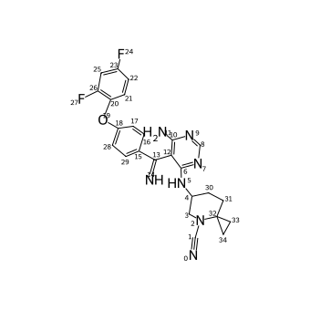 N#CN1CC(Nc2ncnc(N)c2C(=N)c2ccc(Oc3ccc(F)cc3F)cc2)CCC12CC2